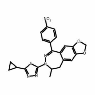 CC1Cc2cc3c(cc2C(c2ccc([N+](=O)[O-])cc2)=NN1c1nnc(C2CC2)s1)OCO3